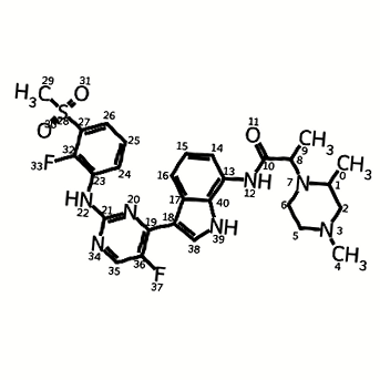 CC1CN(C)CCN1C(C)C(=O)Nc1cccc2c(-c3nc(Nc4cccc(S(C)(=O)=O)c4F)ncc3F)c[nH]c12